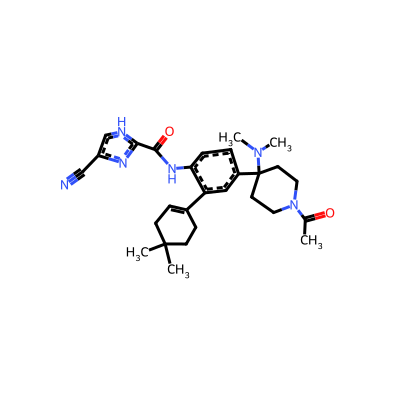 CC(=O)N1CCC(c2ccc(NC(=O)c3nc(C#N)c[nH]3)c(C3=CCC(C)(C)CC3)c2)(N(C)C)CC1